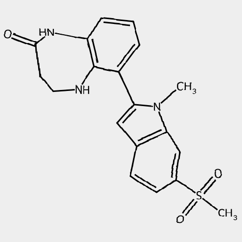 Cn1c(-c2cccc3c2NCCC(=O)N3)cc2ccc(S(C)(=O)=O)cc21